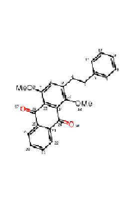 COc1cc(CCc2ccccc2)c(OC)c2c1C(=O)c1ccccc1C2=O